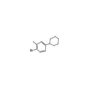 Cc1cc([C]2CCCCC2)ccc1Br